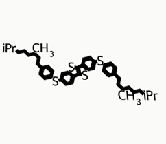 CC(C)CCCC(C)CCc1ccc(Sc2ccc3c(c2)sc2c4ccc(Sc5ccc(CCC(C)CCCC(C)C)cc5)cc4sc32)cc1